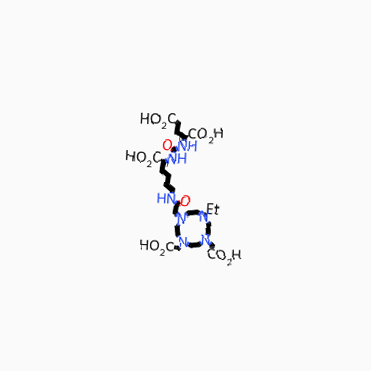 CCN1CCN(CC(=O)O)CCN(CC(=O)O)CCN(CC(=O)NCCCC[C@H](NC(=O)N[C@@H](CCC(=O)O)C(=O)O)C(=O)O)CC1